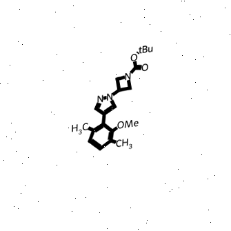 COc1c(C)ccc(C)c1-c1cnn(C2CN(C(=O)OC(C)(C)C)C2)c1